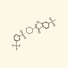 CS(=O)(=O)c1ccc(C(=O)N[C@H]2CC[C@@H](S(=O)(=O)c3cccc(C(F)(F)F)c3)CC2)c(Cl)c1